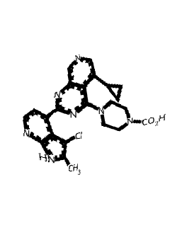 Cc1[nH]c2nccc(-c3nc(N4CCN(C(=O)O)CC4)c4c(C5CC5)cncc4n3)c2c1Cl